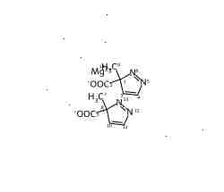 CC1(C(=O)[O-])C=CN=N1.CC1(C(=O)[O-])C=CN=N1.[Mg+2]